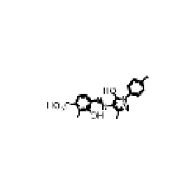 Cc1ccc(-n2nc(C)c(N=Nc3ccc(C(=O)O)c(C)c3O)c2O)cc1